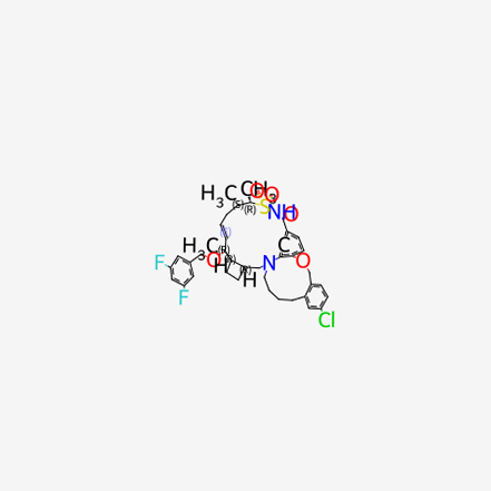 C[C@@H]1[C@@H](C)C/C=C/[C@](C)(OCc2cc(F)cc(F)c2)[C@@H]2CC[C@H]2CN2CCCCc3cc(Cl)ccc3COc3ccc(cc32)C(=O)NS1(=O)=O